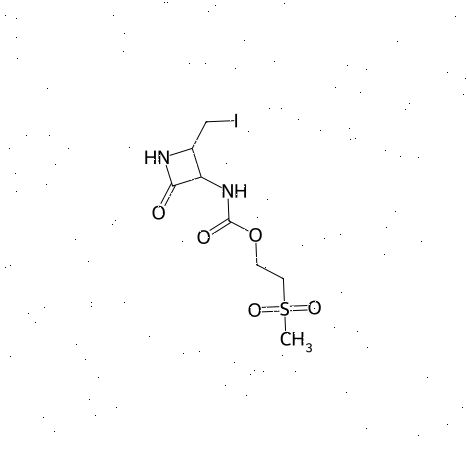 CS(=O)(=O)CCOC(=O)NC1C(=O)NC1CI